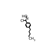 CCCCCc1ccc(C(Cl)=NO)cc1